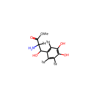 [2H]c1c([2H])c(C(O)C([2H])(N)C(=O)OC)c([2H])c(O)c1O